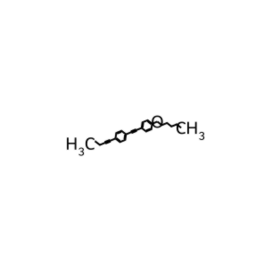 CCCC#Cc1ccc(C#Cc2ccc(OCCCCC)cc2)cc1